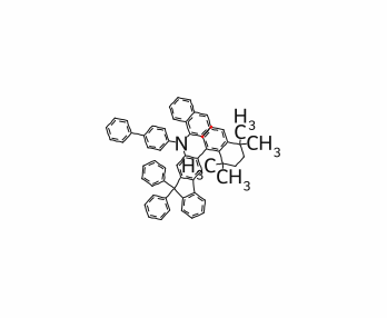 CC1(C)CCC(C)(C)c2c(-c3cc4c(cc3N(c3ccc(-c5ccccc5)cc3)c3cccc5ccccc35)C(c3ccccc3)(c3ccccc3)c3ccccc3-4)cccc21